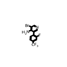 Nc1c(Br)cncc1-c1ccc(C(F)(F)F)cc1F